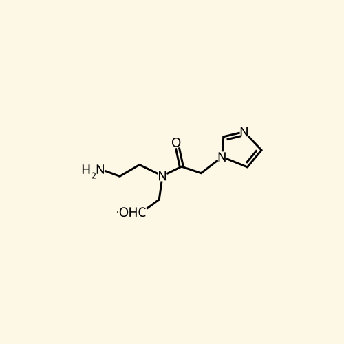 NCCN(C[C]=O)C(=O)Cn1ccnc1